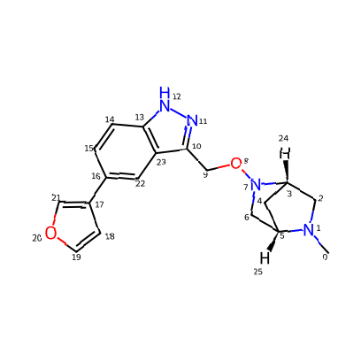 CN1C[C@@H]2C[C@H]1CN2OCc1n[nH]c2ccc(-c3ccoc3)cc12